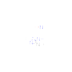 O=C(C1CCC(Nc2nc(Cl)ncc2[N+](=O)[O-])CC1)N1CCCCC1